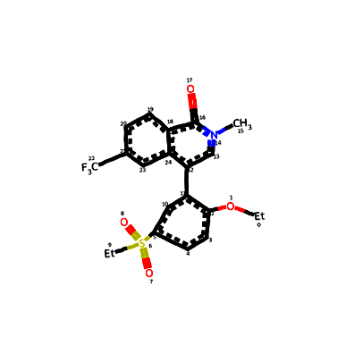 CCOc1ccc(S(=O)(=O)CC)cc1-c1cn(C)c(=O)c2ccc(C(F)(F)F)cc12